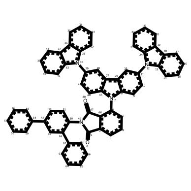 O=C1c2cccc(-n3c4ccc(-n5c6ccccc6c6ccccc65)cc4c4cc(-n5c6ccccc6c6ccccc65)ccc43)c2C(=O)N1c1ccc(-c2ccccc2)cc1-c1ccccc1